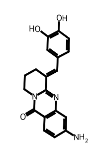 Nc1ccc2c(=O)n3c(nc2c1)/C(=C/c1ccc(O)c(O)c1)CCC3